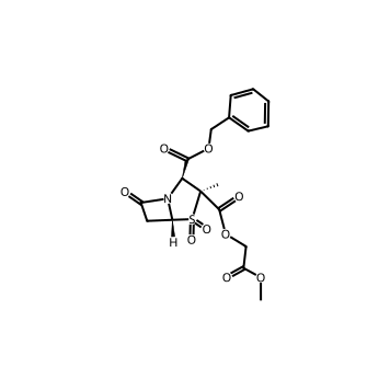 COC(=O)COC(=O)[C@]1(C)[C@H](C(=O)OCc2ccccc2)N2C(=O)C[C@H]2S1(=O)=O